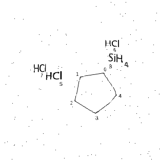 C1CCCC1.Cl.Cl.Cl.[SiH4]